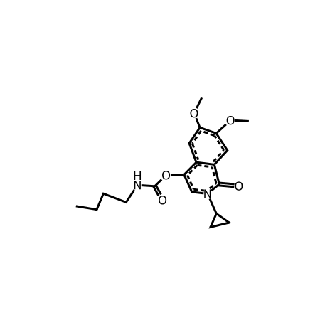 CCCCNC(=O)Oc1cn(C2CC2)c(=O)c2cc(OC)c(OC)cc12